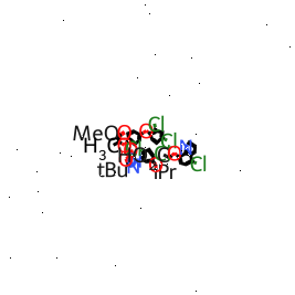 CC(C)Oc1cc(-n2nc(C(C)(C)C)oc2=O)c(Cl)cc1Cl.COC(=O)C(C)Oc1ccc(Oc2ccc(Cl)cc2Cl)cc1.O=C(O)COc1ccc(Cl)c2cccnc12